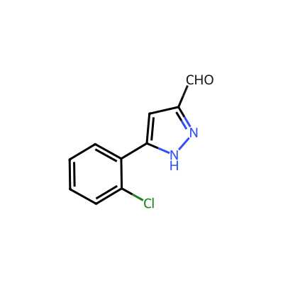 O=Cc1cc(-c2ccccc2Cl)[nH]n1